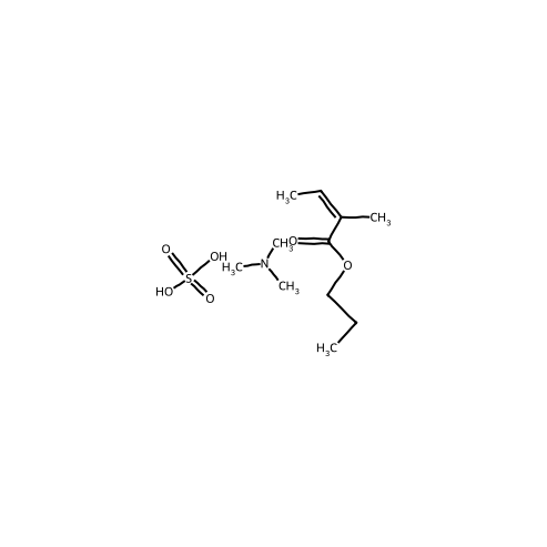 CC=C(C)C(=O)OCCC.CN(C)C.O=S(=O)(O)O